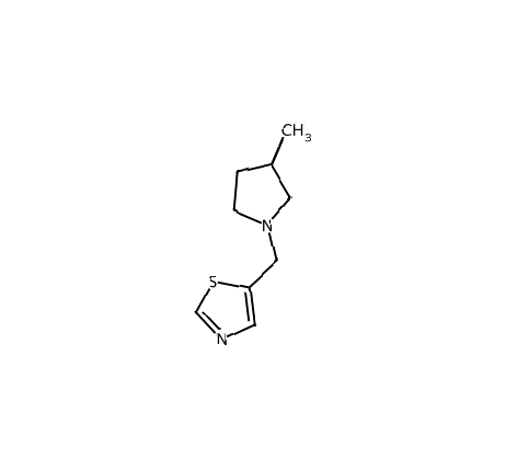 CC1CCN(Cc2cncs2)C1